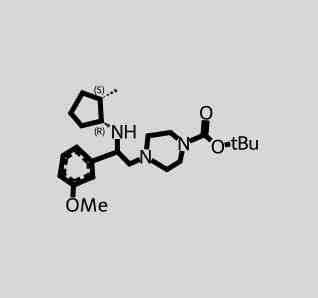 COc1cccc(C(CN2CCN(C(=O)OC(C)(C)C)CC2)N[C@@H]2CCC[C@@H]2C)c1